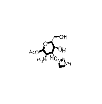 CC(=O)OC1O[C@H](CO)[C@@H](O)[C@H](O)[C@H]1N.c1c[nH]nn1